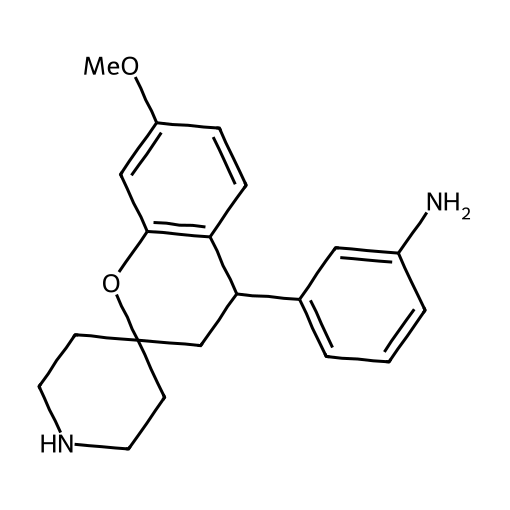 COc1ccc2c(c1)OC1(CCNCC1)CC2c1cccc(N)c1